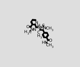 CNC(=O)c1ccc([C@@H]([C@H](C)Nc2nn(C)c(=O)c3cccnc23)N(C)C)cc1